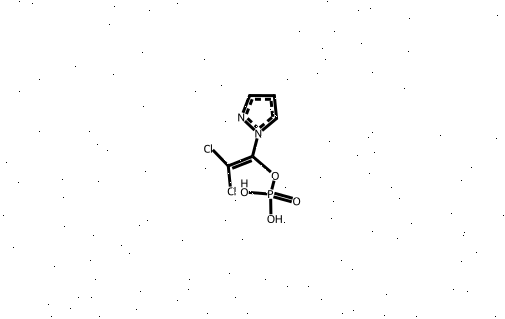 O=P(O)(O)OC(=C(Cl)Cl)n1cccn1